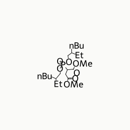 CCCCC(CC)COP(=O)(OCC(CC)CCCC)C(CC(=O)OC)C(=O)OC